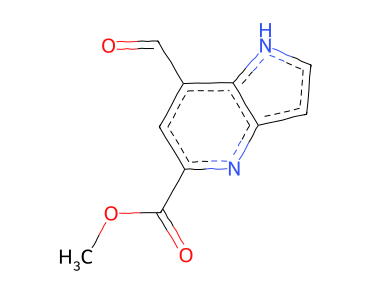 COC(=O)c1cc(C=O)c2[nH]ccc2n1